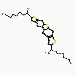 CC(C)CCCCCC(C)c1cc2cc3c(cc2s1)sc1cc2sc(C(C)CCCCCC(C)C)cc2cc13